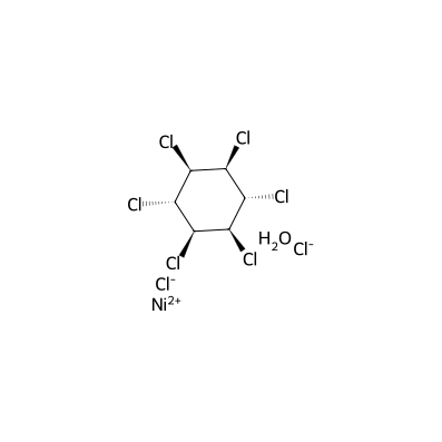 Cl[C@H]1[C@H](Cl)[C@@H](Cl)[C@@H](Cl)[C@H](Cl)[C@H]1Cl.O.[Cl-].[Cl-].[Ni+2]